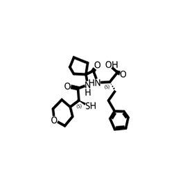 O=C(O)[C@H](CCc1ccccc1)NC(=O)C1(NC(=O)[C@@H](S)C2CCOCC2)CCCC1